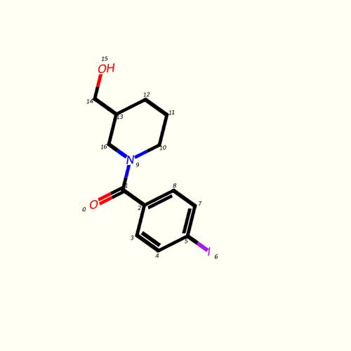 O=C(c1ccc(I)cc1)N1CCCC(CO)C1